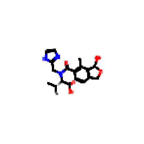 Cc1c(C(=O)N(Cc2ncc[nH]2)[C@H](C(=O)O)C(C)C)ccc2c1B(O)OC2